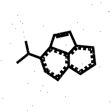 CC(C)c1ccc2cccc3c2c1C=C3